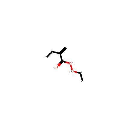 C=C(CC)C(=O)OOCC